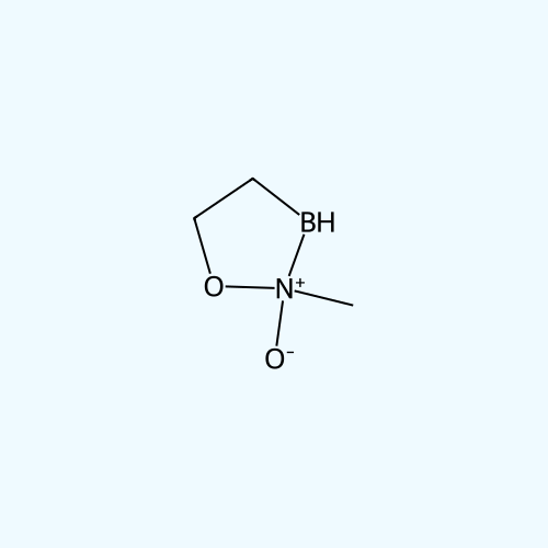 C[N+]1([O-])BCCO1